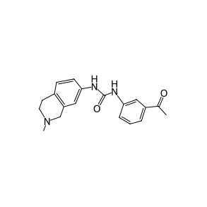 CC(=O)c1cccc(NC(=O)Nc2ccc3c(c2)CN(C)CC3)c1